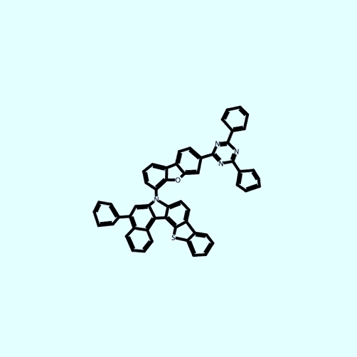 c1ccc(-c2nc(-c3ccccc3)nc(-c3ccc4c(c3)oc3c(-n5c6cc(-c7ccccc7)c7ccccc7c6c6c7sc8ccccc8c7ccc65)cccc34)n2)cc1